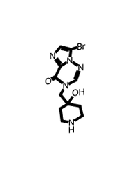 O=c1c2ncc(Br)n2ncn1CC1(O)CCNCC1